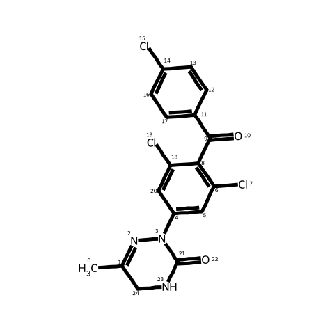 CC1=NN(c2cc(Cl)c(C(=O)c3ccc(Cl)cc3)c(Cl)c2)C(=O)NC1